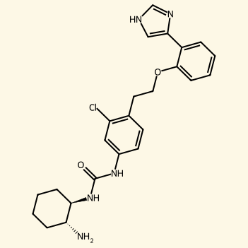 N[C@@H]1CCCC[C@H]1NC(=O)Nc1ccc(CCOc2ccccc2-c2c[nH]cn2)c(Cl)c1